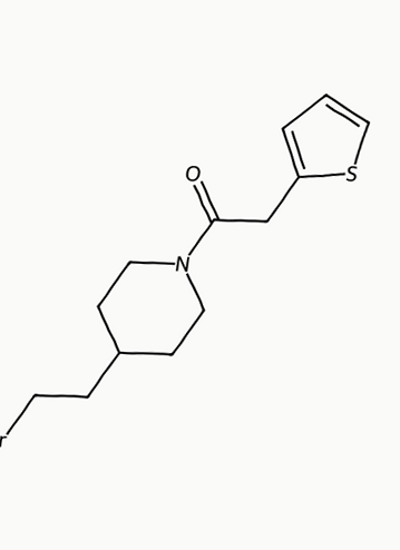 O=C(Cc1cccs1)N1CCC(CCBr)CC1